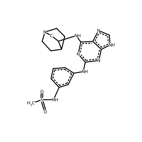 CS(=O)(=O)Nc1cccc(Nc2nc(NC3CN4CCC3CC4)c3nc[nH]c3n2)c1